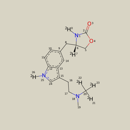 [2H]N1C(=O)OC[C@]1([2H])Cc1ccc2c(c1)c(CCN(C)C([2H])([2H])[2H])cn2[2H]